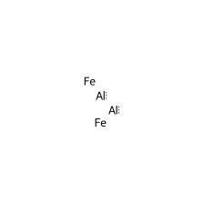 [Al].[Al].[Fe].[Fe]